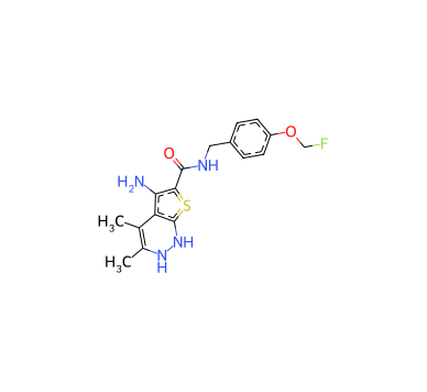 CC1=C(C)c2c(sc(C(=O)NCc3ccc(OCF)cc3)c2N)NN1